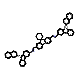 C(=C\c1ccc2c(c1)c1ccccc1n2-c1ccc2ccccc2c1)/c1ccc2c(c1)C1(CCCCC1)c1cc(/C=C/c3ccc4c(c3)c3ccccc3n4-c3ccc4ccccc4c3)ccc1-2